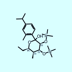 CC[C@H]1OC(O)(c2ccc(C(C)C)cc2C)[C@@H](O[Si](C)(C)C)[C@@H](O[Si](C)(C)C)[C@H]1C